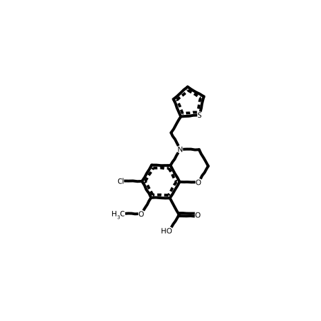 COc1c(Cl)cc2c(c1C(=O)O)OCCN2Cc1cccs1